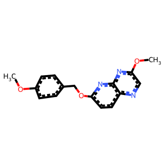 COc1ccc(COc2ccc3ncc(OC)nc3n2)cc1